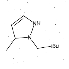 CCC(C)CN1NC=CC1C